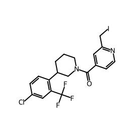 O=C(c1ccnc(CI)c1)N1CCCC(c2ccc(Cl)cc2C(F)(F)F)C1